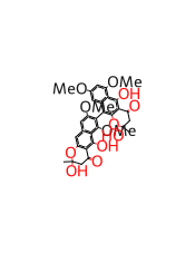 COc1cc(OC)c2c(O)c3c(c(-c4c(OC)cc5cc6c(c(O)c5c4OC)C(=O)CC(C)(O)O6)c2c1)OC(C)(O)CC3=O